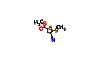 COC(=O)c1cc(C#N)c(SC)s1